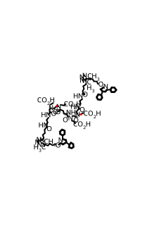 CC(C)(CCCCOc1cc(-c2ccccc2)cc(-c2ccccc2)n1)c1nnnn1CCCCC(=O)NCCCNC(=O)CN(CCC(=O)O)C(=O)CN(CCC(=O)O)C(=O)CC[C@H](N)C(=O)N(CCC(=O)O)CC(=O)N(CCC(=O)O)CC(=O)NCCCNC(=O)CCCCn1nnnc1C(C)(C)CCCCOc1cc(-c2ccccc2)cc(-c2ccccc2)n1